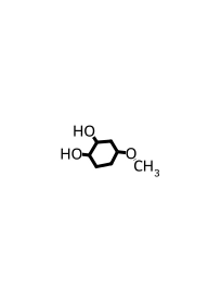 COC1CCC(O)C(O)C1